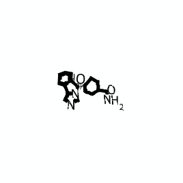 NC(=O)C1CCC(O)([C@H]2c3ccccc3-c3cncn32)CC1